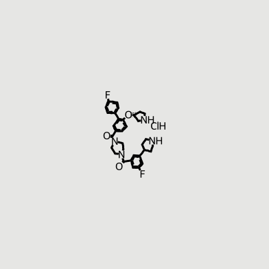 Cl.O=C(c1cc(F)cc(C2CCNCC2)c1)N1CCN(C(=O)c2ccc(O[C@H]3CCNC3)c(-c3ccc(F)cc3)c2)CC1